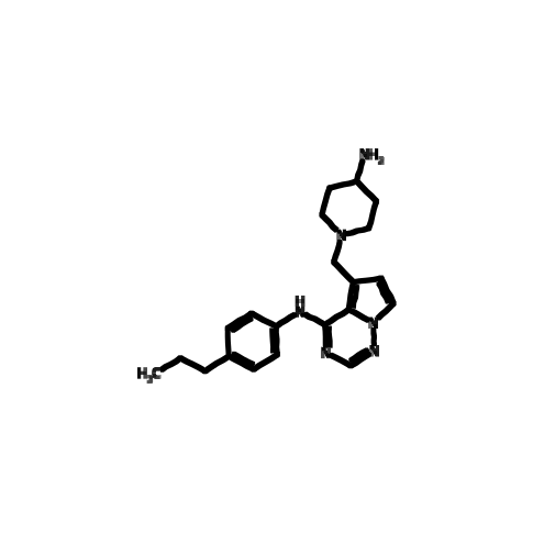 CCCc1ccc(Nc2ncnn3ccc(CN4CCC(N)CC4)c23)cc1